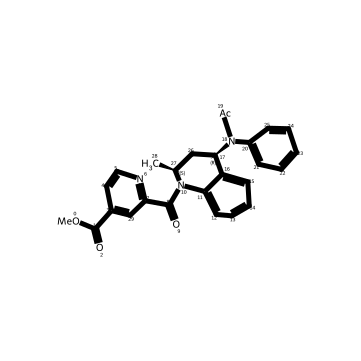 COC(=O)c1ccnc(C(=O)N2c3ccccc3[C@H](N(C(C)=O)c3ccccc3)C[C@@H]2C)c1